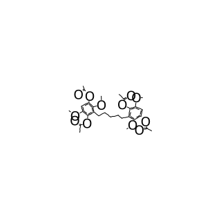 COc1cc(OC(C)=O)c(OC)c(CCCCCc2c(OC)c(OC(C)=O)cc(OC)c2OC(C)=O)c1OC(C)=O